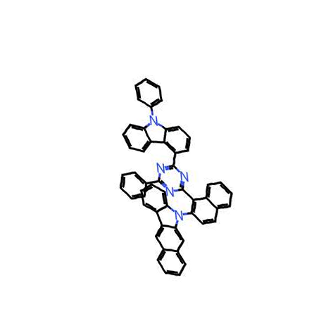 c1ccc(-c2nc(-c3c(-n4c5ccccc5c5cc6ccccc6cc54)ccc4ccccc34)nc(-c3cccc4c3c3ccccc3n4-c3ccccc3)n2)cc1